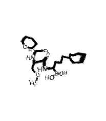 COCC(NC(=O)[C@H]1CCCCO1)C(=O)NC(CCCc1ccccc1)B(O)O